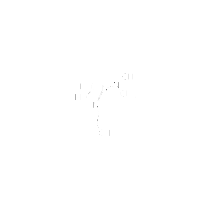 CC.CCCN=C=NN(C)C